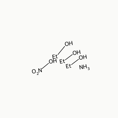 CCO.CCO.CCO.N.O=[N+]([O-])O